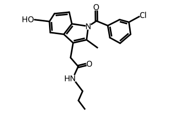 CCCNC(=O)Cc1c(C)n(C(=O)c2cccc(Cl)c2)c2ccc(O)cc12